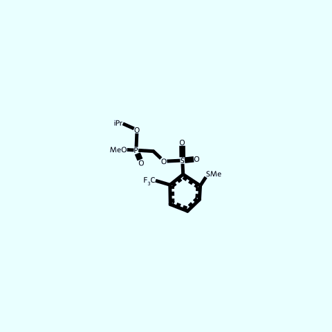 COP(=O)(COS(=O)(=O)c1c(SC)cccc1C(F)(F)F)OC(C)C